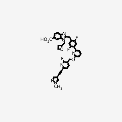 Cn1cc(C#Cc2ccc(COc3cccc(-c4cc(F)c(Cc5nc6ccc(C(=O)O)cc6n5CC5CCO5)cc4F)n3)c(F)n2)cn1